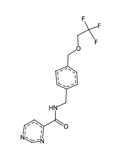 O=C(NCc1ccc(COCC(F)(F)F)cc1)c1ccncn1